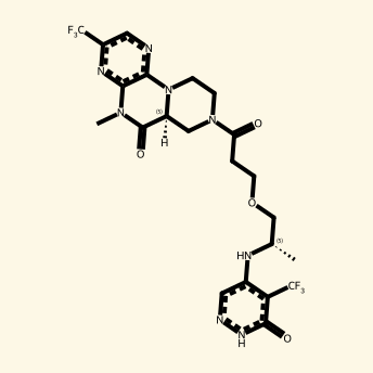 C[C@@H](COCCC(=O)N1CCN2c3ncc(C(F)(F)F)nc3N(C)C(=O)[C@@H]2C1)Nc1cn[nH]c(=O)c1C(F)(F)F